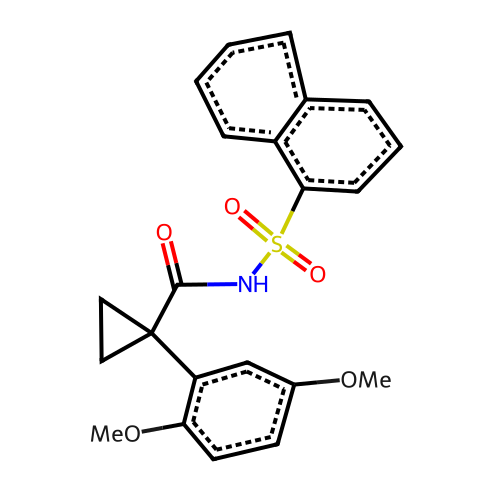 COc1ccc(OC)c(C2(C(=O)NS(=O)(=O)c3cccc4ccccc34)CC2)c1